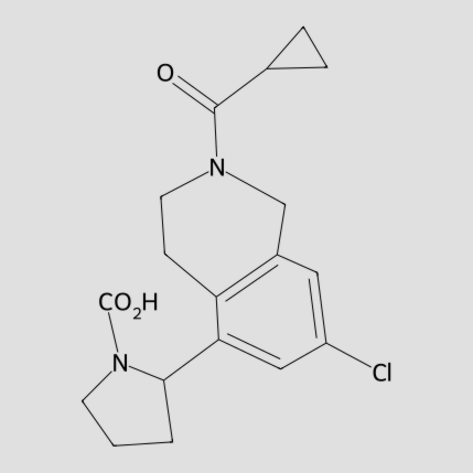 O=C(C1CC1)N1CCc2c(cc(Cl)cc2C2CCCN2C(=O)O)C1